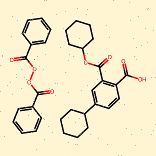 O=C(O)c1ccc(C2CCCCC2)cc1C(=O)OC1CCCCC1.O=C(OOC(=O)c1ccccc1)c1ccccc1